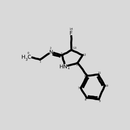 CC/N=C1\NC(c2ccccc2)CC1F